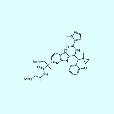 COCC(C)(C(=O)N[C@H](C)CNC(C)=O)c1ccc2[nH]c([C@@H](NC(=O)c3ccnn3C)[C@H](c3ccccc3Cl)C3(C)CC3)nc2c1